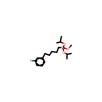 CO[Si](CCCCCc1cccc(F)c1)(OC(C)C)OC(C)C